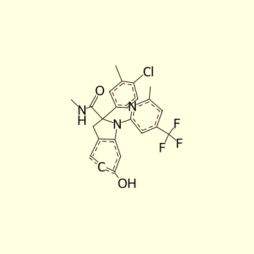 CNC(=O)C1(c2ccc(Cl)c(C)c2)Cc2ccc(O)cc2N1c1cc(C(F)(F)F)cc(C)n1